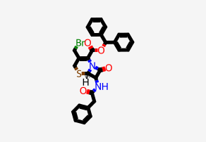 O=C(Cc1ccccc1)NC1C(=O)N2C(C(=O)OC(c3ccccc3)c3ccccc3)=C(CBr)CS[C@H]12